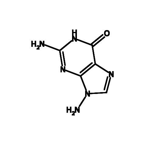 Nc1nc2c(ncn2N)c(=O)[nH]1